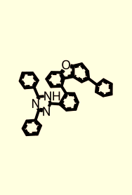 c1ccc(C2=NC(c3ccccc3-c3cccc4oc5ccc(-c6ccccc6)cc5c34)NC(c3ccccc3)=N2)cc1